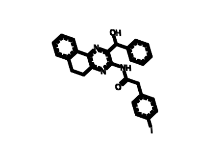 O=C(Cc1ccc(I)cc1)Nc1nc2c(nc1C(O)c1ccccc1)-c1ccccc1CC2